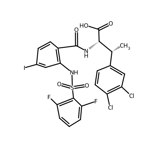 C[C@H](c1ccc(Cl)c(Cl)c1)[C@H](NC(=O)c1ccc(I)cc1NS(=O)(=O)c1c(F)cccc1F)C(=O)O